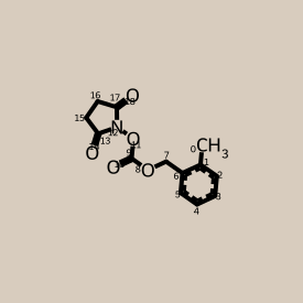 Cc1ccccc1COC(=O)ON1C(=O)CCC1=O